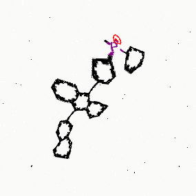 CP(=O)(c1ccccc1)c1ccc(-c2c3ccccc3c(-c3ccc4ccccc4c3)c3ccccc23)cc1